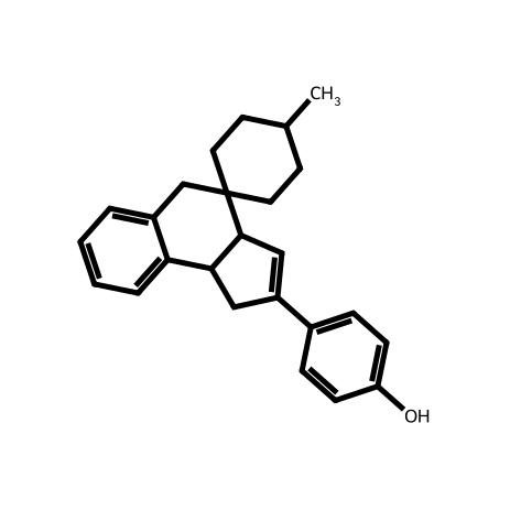 CC1CCC2(CC1)Cc1ccccc1C1CC(c3ccc(O)cc3)=CC12